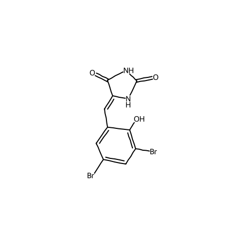 O=C1NC(=O)C(=Cc2cc(Br)cc(Br)c2O)N1